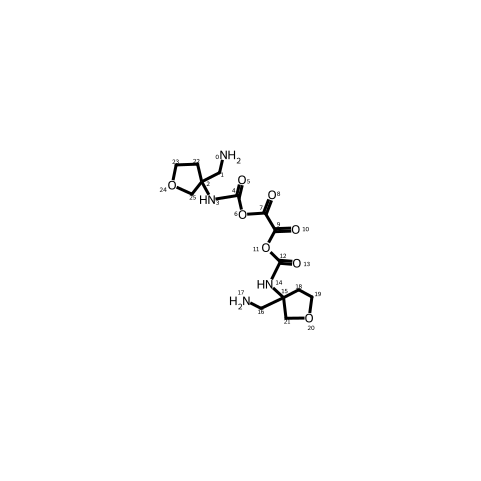 NCC1(NC(=O)OC(=O)C(=O)OC(=O)NC2(CN)CCOC2)CCOC1